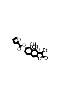 CCC1=C2C[C@@]3(C)C(=CC[C@H](OC(=O)c4ccco4)[C@@H]3C)C=C2OC1=O